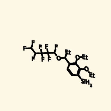 CCOc1c([SiH3])ccc(C(CC)OC(F)C(F)(F)C(F)(F)C(F)C(F)F)c1OCC